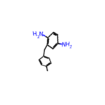 Cc1ccc(Cc2cc(N)ccc2N)cc1